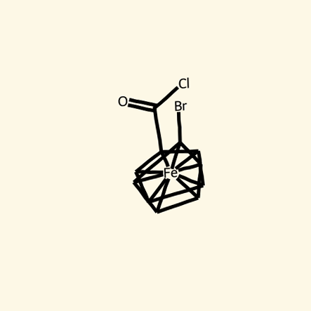 O=C(Cl)[C]12[CH]3[CH]4[CH]5[CH]1[Fe]45321678[CH]2[CH]1[CH]6[C]7(Br)[CH]28